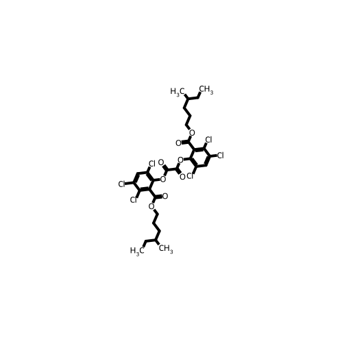 CCC(C)CCCOC(=O)c1c(Cl)c(Cl)cc(Cl)c1OC(=O)C(=O)Oc1c(Cl)cc(Cl)c(Cl)c1C(=O)OCCCC(C)CC